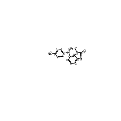 CC(C)N(c1ccc(C#N)cc1)c1cccc2nc(Cl)n(C)c12